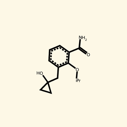 CC(C)Oc1c(CC2(O)CC2)cccc1C(N)=O